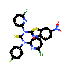 O=[N+]([O-])c1ccc2nc(N(C(=S)N(c3ccc(F)cc3)c3cccc(Cl)n3)c3cccc(Cl)n3)sc2c1